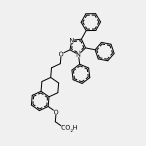 O=C(O)COc1cccc2c1CCC(CCOc1nc(-c3ccccc3)c(-c3ccccc3)n1-c1ccccc1)C2